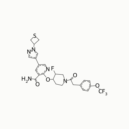 NC(=O)c1cc(-c2cnn(C3CSC3)c2)cnc1OC1CCN(C(=O)Cc2ccc(OC(F)(F)F)cc2)CC1F